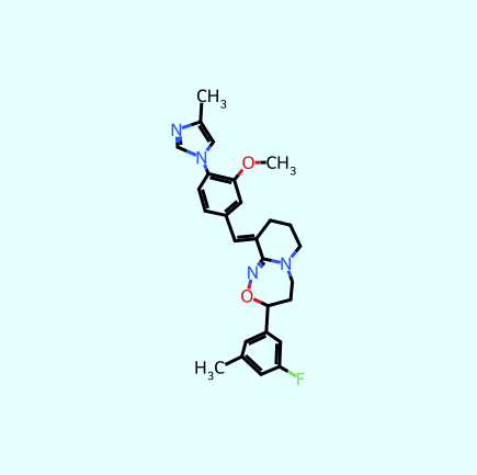 COc1cc(/C=C2\CCCN3CCC(c4cc(C)cc(F)c4)ON=C23)ccc1-n1cnc(C)c1